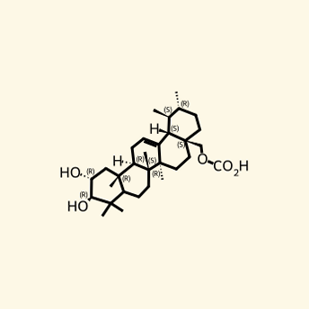 C[C@H]1[C@H](C)CC[C@]2(COC(=O)O)CC[C@]3(C)C(=CC[C@@H]4[C@@]5(C)C[C@@H](O)[C@H](O)C(C)(C)C5CC[C@]43C)[C@H]12